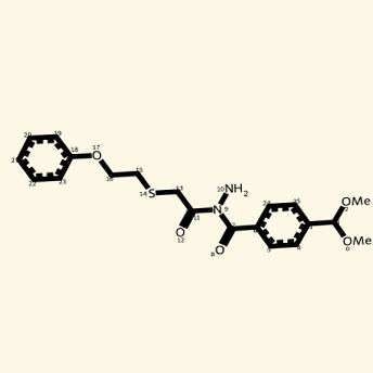 COC(OC)c1ccc(C(=O)N(N)C(=O)CSCCOc2ccccc2)cc1